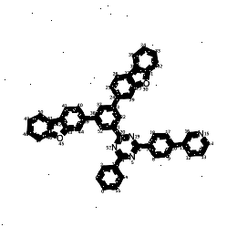 c1ccc(-c2nc(-c3ccc(-c4cccnc4)cc3)nc(-c3cc(-c4ccc5c(c4)oc4ccccc45)cc(-c4ccc5c(c4)oc4ccccc45)c3)n2)cc1